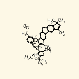 CCC1=[C]([Zr+2](=[CH]c2ccc(C)cc2)[C]2=C(C)c3cc4c(cc3C2(C)C)Cc2cc3c(cc2-4)C(C)=CC3(C)C)C(C)C=C1C(C)(C)C.[Cl-].[Cl-]